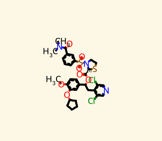 COc1ccc(C(Cc2c(Cl)cncc2Cl)OC(=O)[C@@H]2SCCN2S(=O)(=O)c2cccc(C(=O)N(C)C)c2)cc1OC1CCCC1